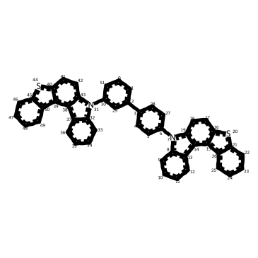 c1cc(-c2ccc(-n3c4ccccc4c4c5c(ccc43)sc3ccccc35)cc2)cc(-n2c3ccccc3c3c4c(ccc32)sc2ccccc24)c1